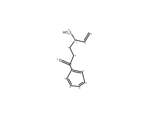 C=CN(CCC(=O)c1ccccc1)S(=O)(=O)O